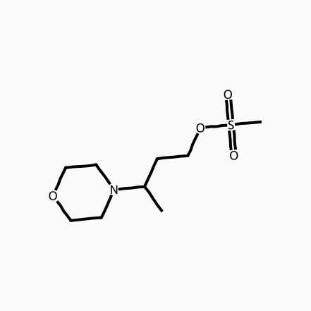 CC(CCOS(C)(=O)=O)N1CCOCC1